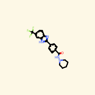 O=C(NN1CCCCC1)c1ccc(-c2nc3ccc(C(F)(F)F)cc3[nH]2)cc1